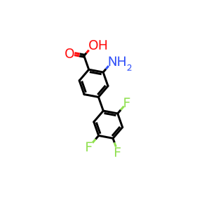 Nc1cc(-c2cc(F)c(F)cc2F)ccc1C(=O)O